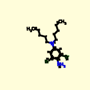 CCCCCN(CCCCC)c1cc(Br)c(N)c(Br)c1